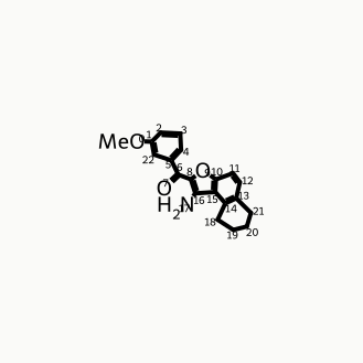 COc1cccc(C(=O)c2oc3ccc4c(c3c2N)CCCC4)c1